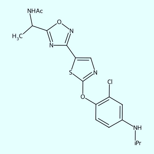 CC(=O)NC(C)c1nc(-c2cnc(Oc3ccc(NC(C)C)cc3Cl)s2)no1